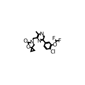 Cc1ncc(-c2ccc(Cl)c(OC(F)F)c2)nc1CN1CC2(CC2)OC1=O